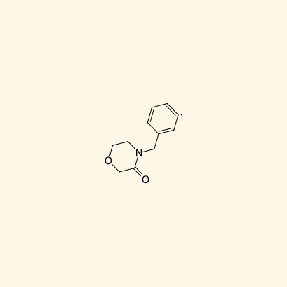 O=C1COCCN1Cc1c[c]ccc1